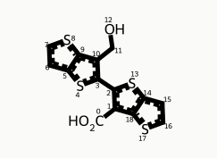 O=C(O)c1c(-c2sc3ccsc3c2CO)sc2ccsc12